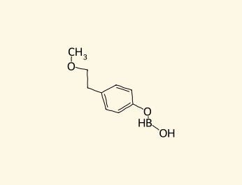 COCCc1ccc(OBO)cc1